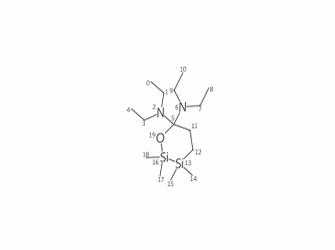 CCN(CC)C1(N(CC)CC)CC[Si](C)(C)[Si](C)(C)O1